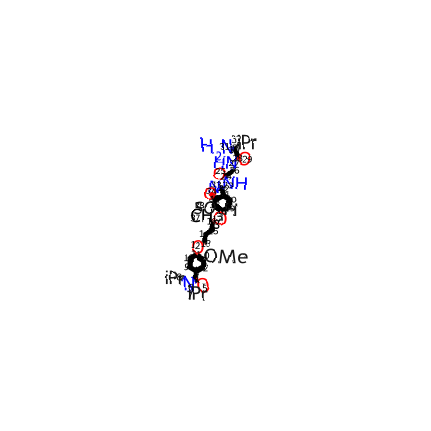 COc1cc(C(=O)N(C(C)C)C(C)C)ccc1OCCCCOc1ccc2c(NC(=O)CNC(=O)[C@@H](N)C(C)C)noc2c1.CS(=O)(=O)O